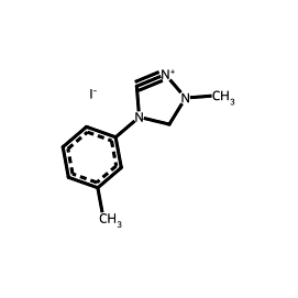 Cc1cccc(N2C#[N+]N(C)C2)c1.[I-]